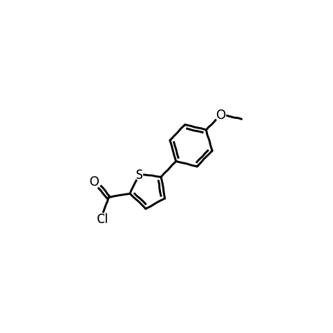 COc1ccc(-c2ccc(C(=O)Cl)s2)cc1